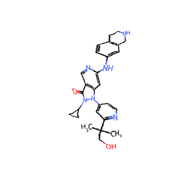 CC(C)(CO)c1cc(-n2c3cc(Nc4ccc5c(c4)CNCC5)ncc3c(=O)n2C2CC2)ccn1